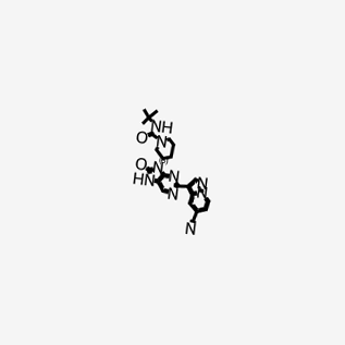 CC(C)(C)NC(=O)N1CCC[C@H](n2c(=O)[nH]c3cnc(-c4cnn5ccc(C#N)cc45)nc32)C1